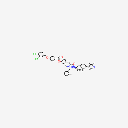 Cc1ccccc1CN1Cc2cc3c(cc2C[C@H]1C(=O)N[C@@H](Cc1ccc(-c2ccnc(C)c2C)cc1)C(=O)O)OC[C@H](c1ccc(OCc2ccc(Cl)c(Cl)c2)cc1)O3